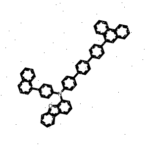 c1ccc2c(-c3ccc(N(c4ccc(-c5ccc(-c6ccc(-c7cc8ccccc8c8ccccc78)cc6)cc5)cc4)c4cccc5c4oc4ccccc45)cc3)cccc2c1